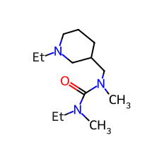 CCN1CCCC(CN(C)C(=O)N(C)CC)C1